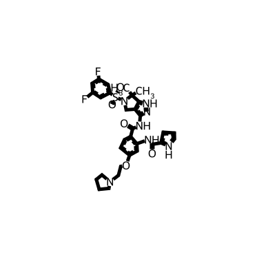 CC1(C)c2[nH]nc(NC(=O)c3ccc(OCCN4CCCC4)cc3NC(=O)c3ccc[nH]3)c2CN1S(=O)(=O)c1cc(F)cc(F)c1